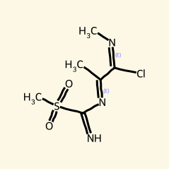 C/N=C(Cl)\C(C)=N\C(=N)S(C)(=O)=O